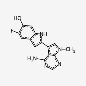 Cn1cc(-c2cc3cc(F)c(O)cc3[nH]2)c2c(N)ncnc21